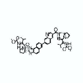 COC(=O)N[C@H](C(=O)N1CCC[C@H]1CNC(=O)c1cnc2cc(-c3ccc4c(ccc5nc([C@@H]6CCCN6C(=O)[C@@H](NC(=O)OC)C(C)C)[nH]c54)c3)ccc2c1)C(C)C